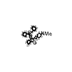 CNC1CCC2(CC1)CC(N1C(=O)c3ccccc3C1=O)C2.O=C(OCc1ccccc1)c1ccccc1